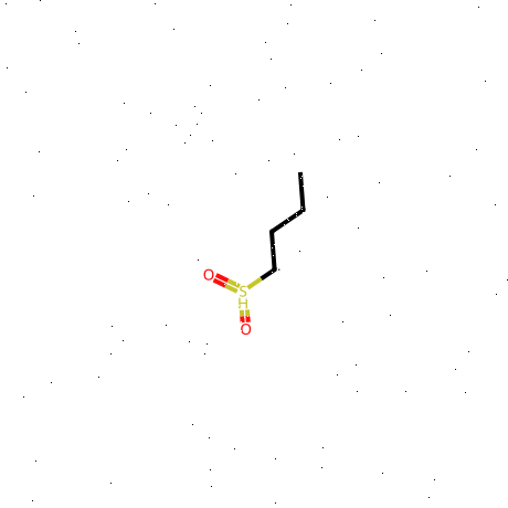 CCC[CH][SH](=O)=O